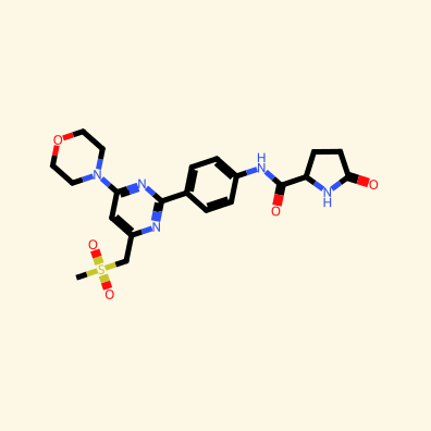 CS(=O)(=O)Cc1cc(N2CCOCC2)nc(-c2ccc(NC(=O)C3CCC(=O)N3)cc2)n1